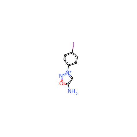 Nc1c[n+](-c2ccc(I)cc2)no1